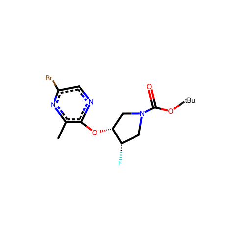 Cc1nc(Br)cnc1O[C@@H]1CN(C(=O)OC(C)(C)C)C[C@@H]1F